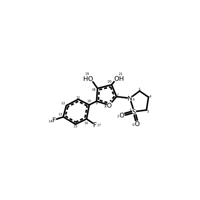 O=S1(=O)CCCN1c1oc(-c2ccc(F)cc2F)c(O)c1O